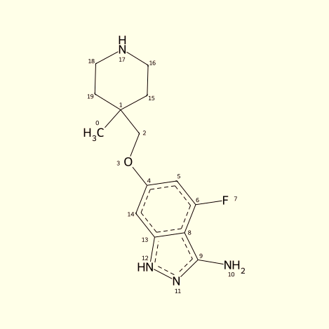 CC1(COc2cc(F)c3c(N)n[nH]c3c2)CCNCC1